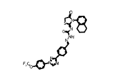 O=C(/N=C1\SCC(=O)N1c1cccc2c1CCCC2)N/N=C/c1ccc(-c2ncn(-c3ccc(OC(F)(F)F)cc3)n2)cc1